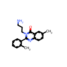 Cc1ccc2nc(-c3ccccc3C)n(CCCN)c(=O)c2c1